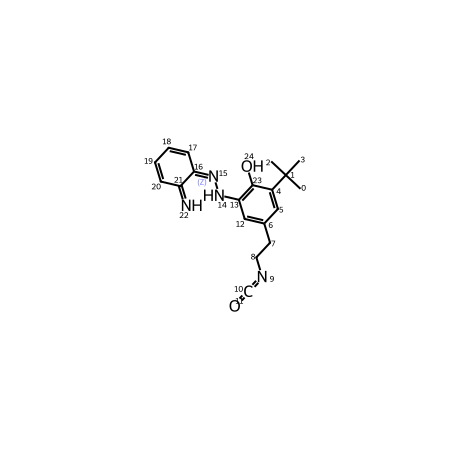 CC(C)(C)c1cc(CCN=C=O)cc(N/N=C2/C=CC=CC2=N)c1O